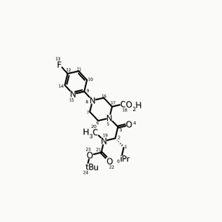 CC(C)C[C@@H](C(=O)N1CCN(c2ccc(F)cn2)CC1C(=O)O)N(C)C(=O)OC(C)(C)C